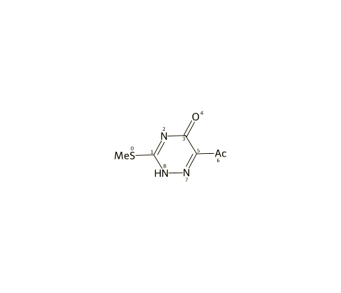 CSc1nc(=O)c(C(C)=O)n[nH]1